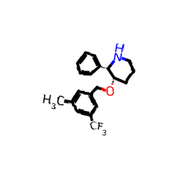 Cc1cc(CO[C@H]2CCCN[C@H]2c2ccccc2)cc(C(F)(F)F)c1